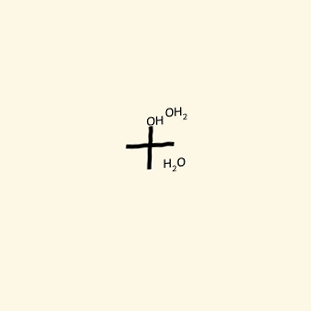 CC(C)(C)O.O.O